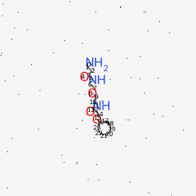 NCCC(=O)NCCOCCNC(=O)COC1C#CCCCCC1